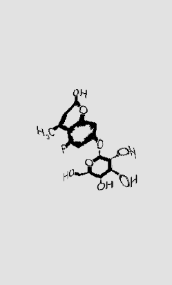 CC1=CC(O)Oc2cc(O[C@H]3O[C@H](CO)[C@@H](O)[C@H](O)[C@H]3O)cc(F)c21